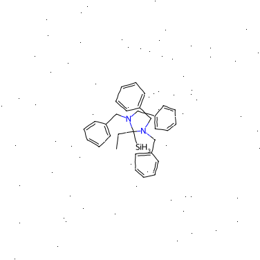 CCC([SiH3])(N(Cc1ccccc1)Cc1ccccc1)N(Cc1ccccc1)Cc1ccccc1